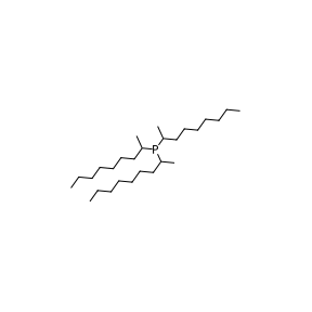 CCCCCCCC(C)P(C(C)CCCCCCC)C(C)CCCCCCC